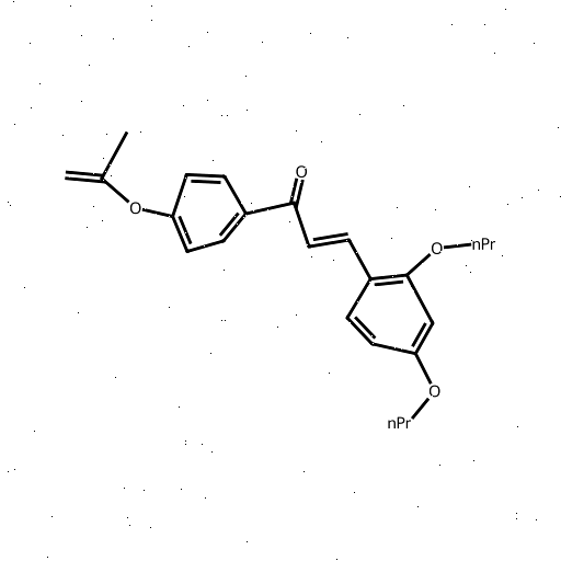 C=C(C)Oc1ccc(C(=O)C=Cc2ccc(OCCC)cc2OCCC)cc1